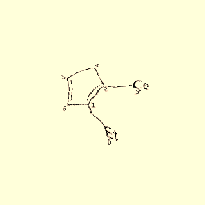 CCC1=[C]([Ce])CC=C1